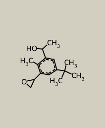 Cc1c(C(C)O)cc(C(C)(C)C)cc1C1CO1